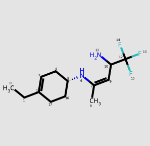 CCC1=CC[C@H](N/C(C)=C\C(N)C(F)(F)F)CC1